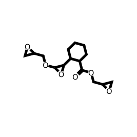 O=C(OCC1CO1)C1CCCCC1C1OC1OCC1CO1